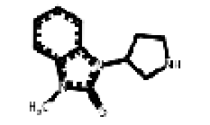 Cn1c(=O)n(C2CCNC2)c2ccccc21